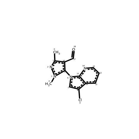 Cc1nn(C)c(-n2cc(Cl)c3cccnc32)c1C=O